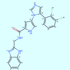 O=C(NCc1nc2ccccc2[nH]1)c1cc(-n2cncc2-c2cccc(F)c2F)c[nH]1